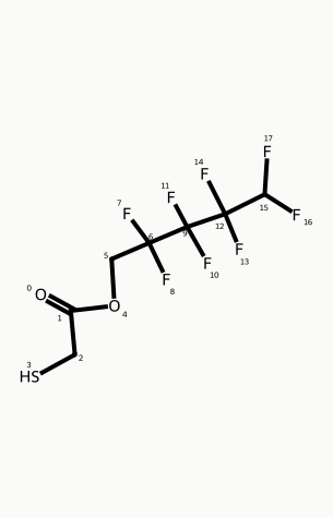 O=C(CS)OCC(F)(F)C(F)(F)C(F)(F)C(F)F